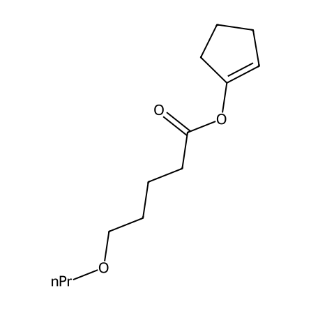 CCCOCCCCC(=O)OC1=CCCC1